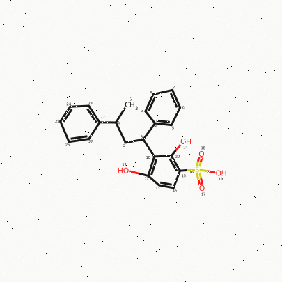 CC(CC(c1ccccc1)c1c(O)ccc(S(=O)(=O)O)c1O)c1ccccc1